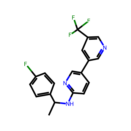 CC(Nc1ccc(-c2cncc(C(F)(F)F)c2)cn1)c1ccc(F)cc1